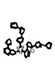 c1ccc(-c2ccc(-c3cccc4c3oc3cccc(-c5nc(-c6ccc(-c7cccc(-c8ccccc8)c7)cc6)nc(-c6ccc7cccc(-c8ccccc8)c7c6)n5)c34)cc2)cc1